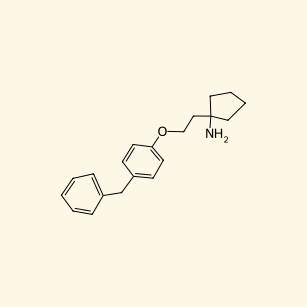 NC1(CCOc2ccc(Cc3ccccc3)cc2)CCCC1